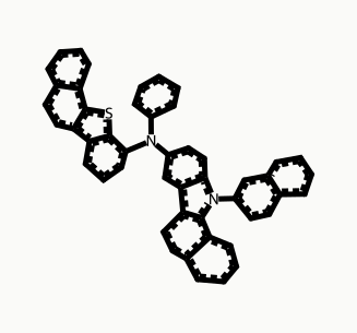 c1ccc(N(c2ccc3c(c2)c2ccc4ccccc4c2n3-c2ccc3ccccc3c2)c2cccc3c2sc2c4ccccc4ccc32)cc1